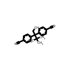 CCC(c1ccc(C#N)cc1)(c1ccc(C#N)cc1)C(C)(C)C